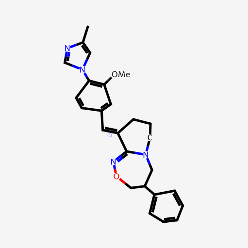 COc1cc(/C=C2\CCCN3CC(c4ccccc4)CON=C23)ccc1-n1cnc(C)c1